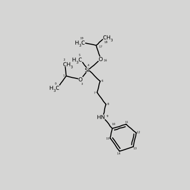 CC(C)O[Si](C)(CCCNc1ccccc1)OC(C)C